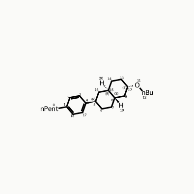 CCCCCc1ccc([C@@H]2CC[C@H]3C[C@@H](OCCCC)CC[C@@H]3C2)cc1